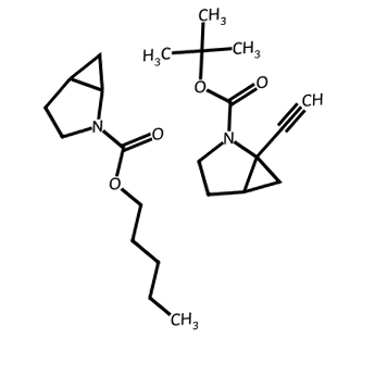 C#CC12CC1CCN2C(=O)OC(C)(C)C.CCCCCOC(=O)N1CCC2CC21